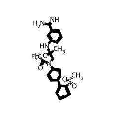 CC(C)(CN(C(=O)C(F)(F)F)c1ccc(-c2ccccc2S(C)(=O)=O)cc1)Nc1cccc(C(=N)N)c1